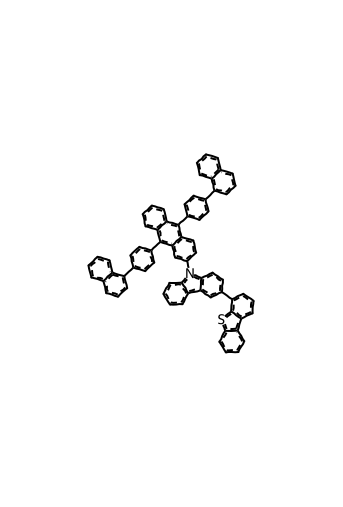 c1ccc2c(-c3ccc(-c4c5ccccc5c(-c5ccc(-c6cccc7ccccc67)cc5)c5cc(-n6c7ccccc7c7cc(-c8cccc9c8sc8ccccc89)ccc76)ccc45)cc3)cccc2c1